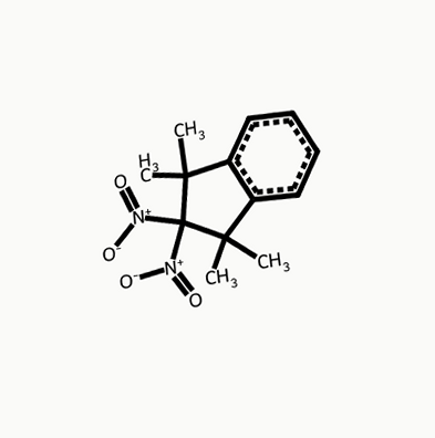 CC1(C)c2ccccc2C(C)(C)C1([N+](=O)[O-])[N+](=O)[O-]